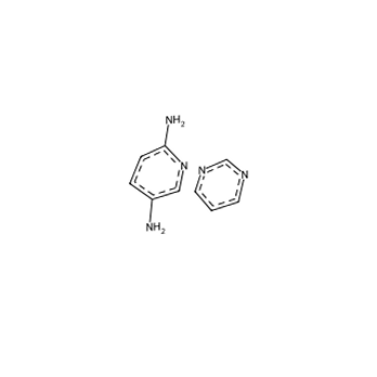 Nc1ccc(N)nc1.c1cncnc1